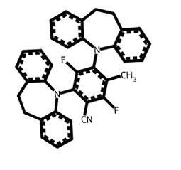 Cc1c(F)c(C#N)c(N2c3ccccc3CCc3ccccc32)c(F)c1N1c2ccccc2CCc2ccccc21